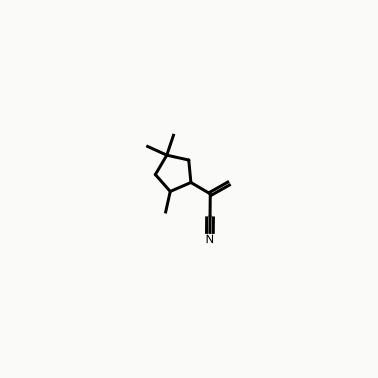 C=C(C#N)C1CC(C)(C)CC1C